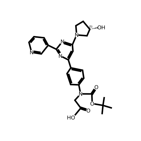 CC(C)(C)OC(=O)N(CC(=O)O)c1ccc(-c2cc(N3CC[C@H](O)C3)nc(-c3cccnc3)n2)cc1